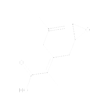 C=C(C)C/C(CC1CO1)=C(/C)C(=O)O